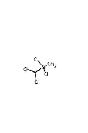 C[Si](Cl)(Cl)C(Cl)Cl